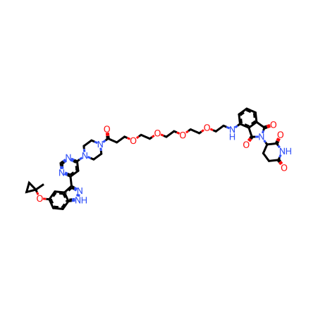 CC1(Oc2ccc3[nH]nc(-c4cc(N5CCN(C(=O)CCOCCOCCOCCOCCNc6cccc7c6C(=O)N(C6CCC(=O)NC6=O)C7=O)CC5)ncn4)c3c2)CC1